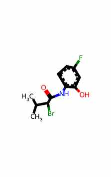 CC(C)C(Br)C(=O)Nc1ccc(F)cc1O